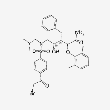 Cc1cccc(C)c1OC(C(N)=O)[C@@H](Cc1ccccc1)[C@@H](O)CN(CC(C)C)S(=O)(=O)c1ccc(C(=O)CBr)cc1